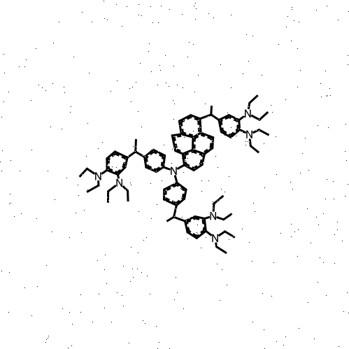 CCN(CC)c1ccc(C(C)c2ccc(N(c3ccc(C(C)c4ccc(N(CC)CC)c(N(CC)CC)c4)cc3)c3ccc4ccc5c(C(C)c6ccc(N(CC)CC)c(N(CC)CC)c6)ccc6ccc3c4c65)cc2)cc1N(CC)CC